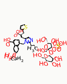 CCCc1ncc(/C=C(\Cc2cccs2)C(=O)O)n1Cc1ccc(C(=O)O)c2ccccc12.O.O.O=S(=O)(O)O[C@H]1[C@H](O)[C@@H](CO)O[C@@]1(CO)O[C@H]1O[C@H](CO)[C@@H](O)[C@H](O)[C@H]1O.[CaH2]